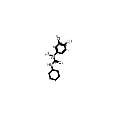 O=C(NC1CCCCC1)N(S)c1ccc(O)c(Cl)c1